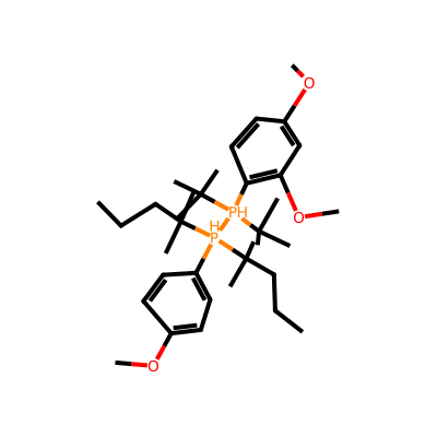 CCCC(C)(C)[PH](c1ccc(OC)cc1)(C(C)(C)CCC)[PH](c1ccc(OC)cc1OC)(C(C)(C)C)C(C)(C)C